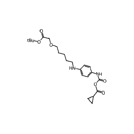 CC(C)(C)OC(=O)COCCCCCNc1ccc(NC(=O)OC(=O)C2CC2)cc1